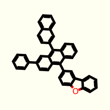 c1ccc(-c2ccc3c(-c4ccc5oc6ccccc6c5c4)c4ccccc4c(-c4ccc5ccccc5c4)c3c2)cc1